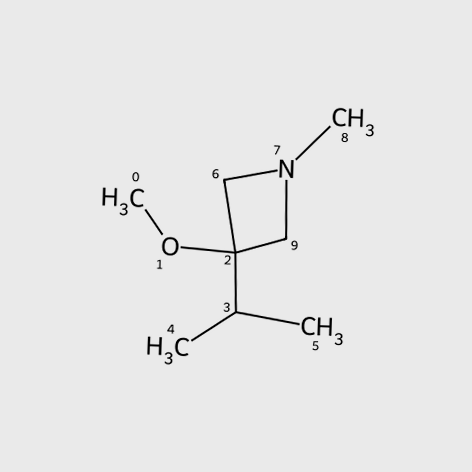 COC1(C(C)C)CN(C)C1